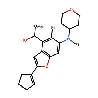 CCc1c(N(CC)C2CCOCC2)cc2oc(C3=CCCC3)cc2c1C(O)OC